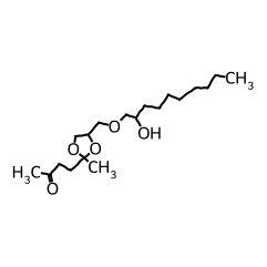 CCCCCCCCC(O)COCC1COC(C)(CCC(C)=O)O1